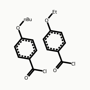 CCCCOc1ccc(C(=O)Cl)cc1.CCOc1ccc(C(=O)Cl)cc1